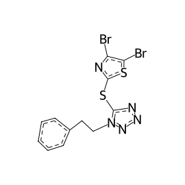 Brc1nc(Sc2nnnn2CCc2ccccc2)sc1Br